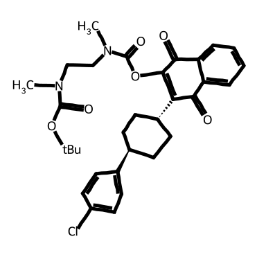 CN(CCN(C)C(=O)OC(C)(C)C)C(=O)OC1=C([C@H]2CC[C@H](c3ccc(Cl)cc3)CC2)C(=O)c2ccccc2C1=O